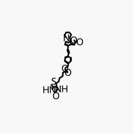 O=C1NC2CSC(CCCCC(=O)OCc3ccc(C#CC4=CC5CC6(OC(=O)C=C46)C4CCCCN54)cc3)C2N1